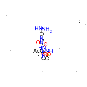 CC(=O)OC(=O)[C@H](CNC(=O)CN1CCN(c2ccc(C(=N)N)cc2)CC1=O)NS(=O)(=O)c1cccc2c1NCCC2